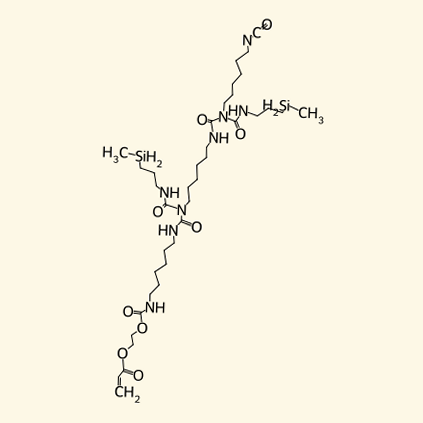 C=CC(=O)OCCOC(=O)NCCCCCCNC(=O)N(CCCCCCNC(=O)N(CCCCCCN=C=O)C(=O)NCCC[SiH2]C)C(=O)NCCC[SiH2]C